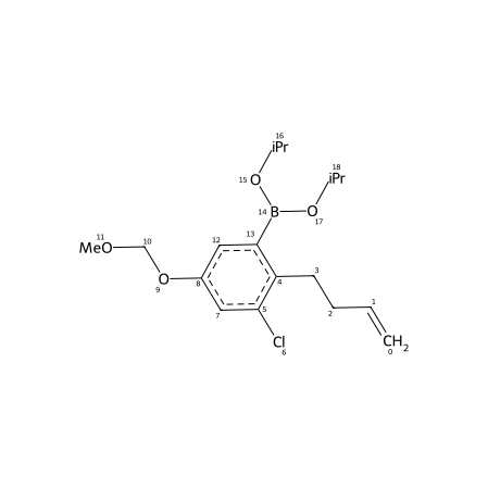 C=CCCc1c(Cl)cc(OCOC)cc1B(OC(C)C)OC(C)C